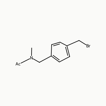 CC(=O)N(C)Cc1ccc(CBr)cc1